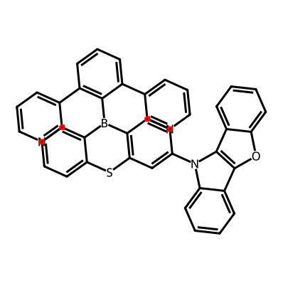 c1cncc(-c2cccc(-c3cccnc3)c2B2c3ccccc3Sc3cc(-n4c5ccccc5c5oc6ccccc6c54)ccc32)c1